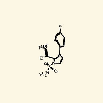 NS(=O)(=O)n1ccc(-c2ccc(F)cc2)c1C(=O)[O-].[Na+]